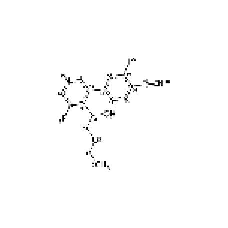 CCOCC(O)c1c(F)cncc1-c1ccc(C#N)c(I)c1